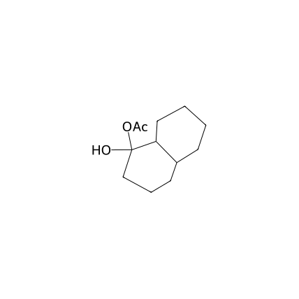 CC(=O)OC1(O)CCCC2CCCCC21